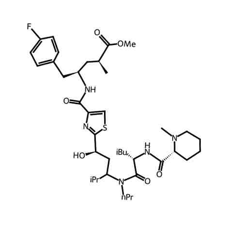 CCCN(C(=O)[C@@H](NC(=O)[C@H]1CCCCN1C)C(C)CC)C(C[C@@H](O)c1nc(C(=O)N[C@@H](Cc2ccc(F)cc2)C[C@H](C)C(=O)OC)cs1)C(C)C